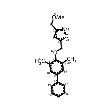 COCc1cc(COc2c(C)cc(-c3ccccc3)cc2C)on1